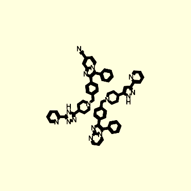 N#Cc1ccn2c(-c3ccccc3)c(-c3ccc(CN4CCC(c5nnc(-c6ccccn6)[nH]5)CC4)cc3)nc2c1.c1ccc(-c2c(-c3ccc(CN4CCC(c5cc(-c6ccccn6)n[nH]5)CC4)cc3)nc3ncccn23)cc1